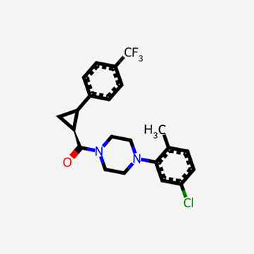 Cc1ccc(Cl)cc1N1CCN(C(=O)[C@H]2CC2c2ccc(C(F)(F)F)cc2)CC1